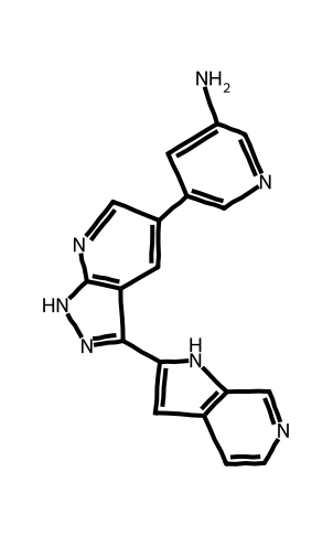 Nc1cncc(-c2cnc3[nH]nc(-c4cc5ccncc5[nH]4)c3c2)c1